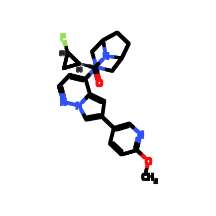 COc1ccc(-c2cc3c(N4CC5CCC(C4)N5C(=O)[C@@H]4C[C@H]4F)ccnn3c2)cn1